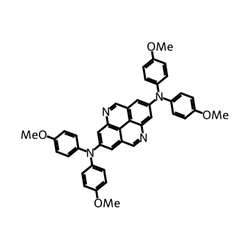 COc1ccc(N(c2ccc(OC)cc2)c2cc3cnc4cc(N(c5ccc(OC)cc5)c5ccc(OC)cc5)cc5cnc(c2)c3c54)cc1